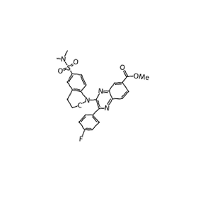 COC(=O)c1ccc2nc(-c3ccc(F)cc3)c(N3CCCc4cc(S(=O)(=O)N(C)C)ccc43)nc2c1